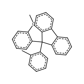 COc1ccccc1C1(c2ccccc2C)c2ccccc2-c2ccccc21